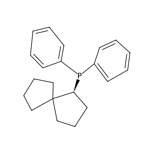 c1ccc(P(c2ccccc2)[C@H]2CCCC23CCCC3)cc1